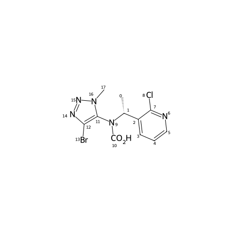 C[C@H](c1cccnc1Cl)N(C(=O)O)c1c(Br)nnn1C